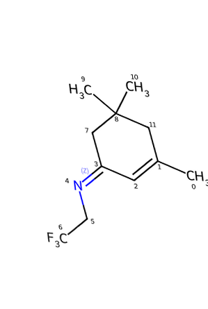 CC1=C/C(=N\CC(F)(F)F)CC(C)(C)C1